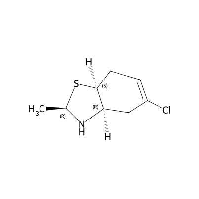 C[C@@H]1N[C@@H]2CC(Cl)=CC[C@@H]2S1